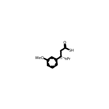 CCC[C@@H](CC(=O)S)c1cccc(OC)c1